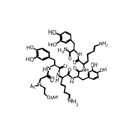 COCCN(CC(=O)NC(Cc1ccc(O)c(O)c1)C(=O)NC(CCCCN)C(=O)NC(Cc1ccc(O)c(O)c1)C(=O)NC(CCCCN)C(=O)NC(Cc1ccc(O)c(O)c1)C(N)=O)C(C)=O